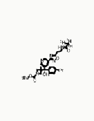 [2H]C([2H])([2H])C(=O)NCCc1nc(-c2cncc([C@@](O)(c3ccc(C(C)C)cc3)C3(C)CN(C(=O)OC(C)(C)C)C3)c2)no1